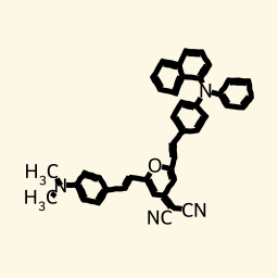 CN(C)c1ccc(/C=C/C2=CC(=C(C#N)C#N)C=C(/C=C/c3ccc(N(c4ccccc4)c4cccc5ccccc45)cc3)O2)cc1